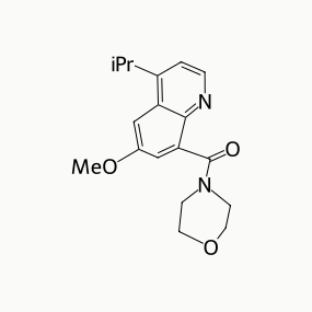 COc1cc(C(=O)N2CCOCC2)c2nccc(C(C)C)c2c1